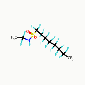 O=S(=O)(N(F)C(F)(F)C(F)(F)F)C(F)(F)C(F)(F)C(F)(F)C(F)(F)C(F)(F)C(F)(F)C(F)(F)C(F)(F)F